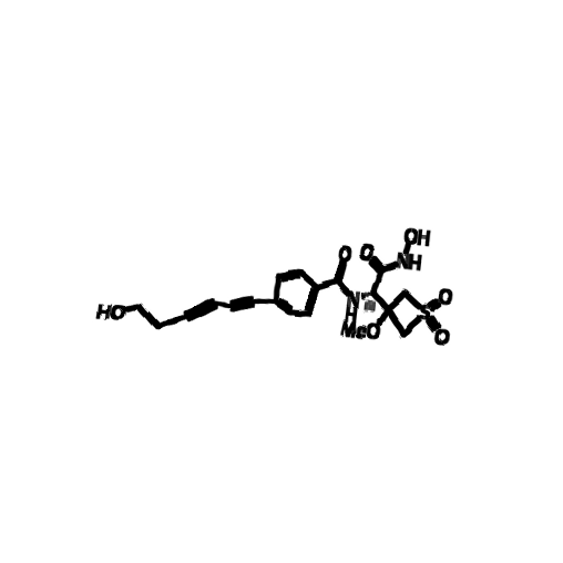 COC1([C@H](NC(=O)c2ccc(C#CC#CCCO)cc2)C(=O)NO)CS(=O)(=O)C1